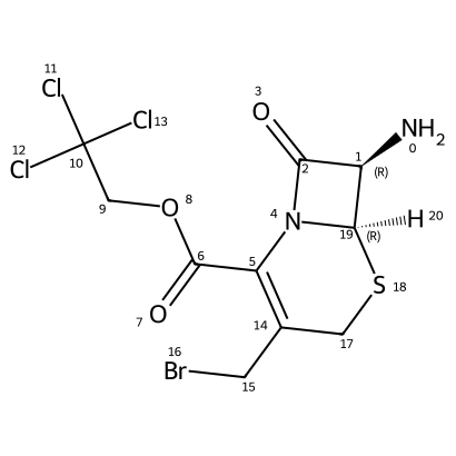 N[C@@H]1C(=O)N2C(C(=O)OCC(Cl)(Cl)Cl)=C(CBr)CS[C@H]12